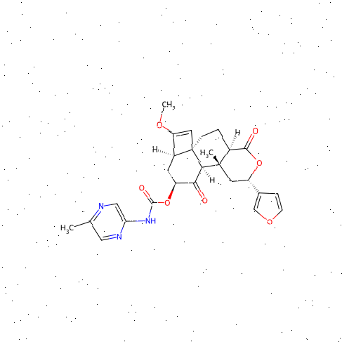 COC1=C[C@@]23CC[C@H]4C(=O)O[C@H](c5ccoc5)C[C@]4(C)[C@H]2C(=O)[C@@H](OC(=O)Nc2cnc(C)cn2)C[C@@H]13